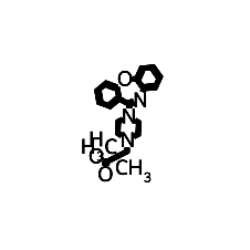 CC(C)(CN1CCN(C2=Nc3ccccc3Oc3ccccc32)CC1)C(=O)O